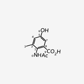 CC(=O)Nc1c(C)cc(O)cc1C(=O)O